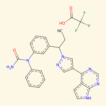 N#CCC(c1cccc(N(C(N)=O)c2ccccc2)c1)n1cc(-c2ncnc3[nH]ccc23)cn1.O=C(O)C(F)(F)F